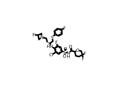 O=C(NS(=O)(=O)c1cc(F)c(N[C@H](CCN2CC(F)C2)CSc2ccc(F)cc2)c(Cl)c1)C1CCC(F)(F)CO1